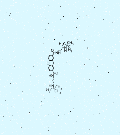 CC(C)(C)NCCCNC(=O)c1ccc2c(c1)Cc1cc(C(=O)NCCCNC(C)(C)C)ccc1O2